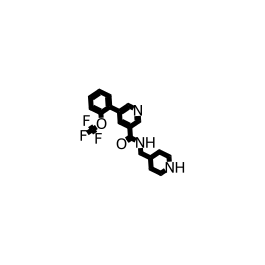 O=C(NCC1CCNCC1)c1cncc(-c2ccccc2OC(F)(F)F)c1